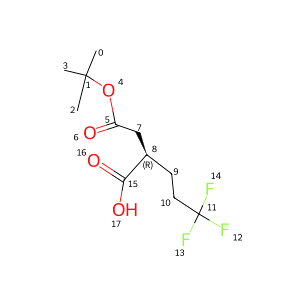 CC(C)(C)OC(=O)C[C@@H](CCC(F)(F)F)C(=O)O